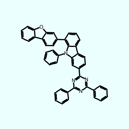 c1ccc(-c2nc(-c3ccccc3)nc(-c3ccc4c5cccc(-c6ccc7c(c6)oc6ccccc67)c5n(-c5ccccc5)c4c3)n2)cc1